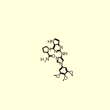 COc1cc(-n2cnc(Nc3nc(N4CCCC4C(N)=O)c4[nH]ccc4n3)c2)cc(OC)c1OC